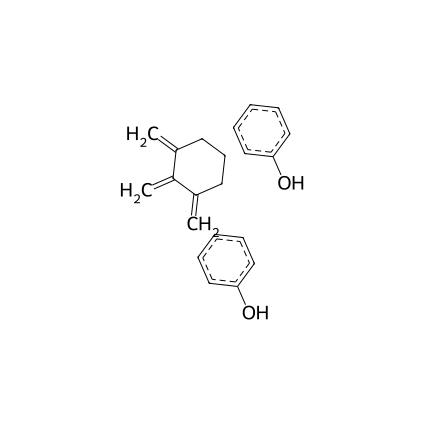 C=C1CCCC(=C)C1=C.Oc1ccccc1.Oc1ccccc1